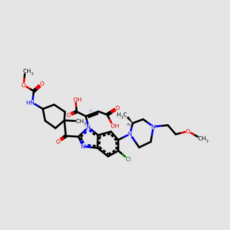 COCCN1CCN(c2cc3c(cc2Cl)nc(C(=O)C2(C)CCC(NC(=O)OC)CC2)n3/C(=C\C(=O)O)C(=O)O)[C@@H](C)C1